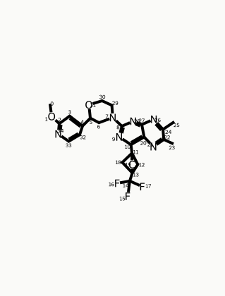 COc1cc(C2CN(c3nc(C45CC(C(F)(F)F)(C4)C5)c4nc(C)c(C)nc4n3)CCO2)ccn1